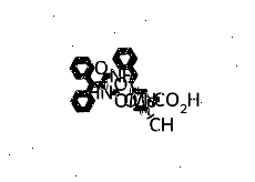 C#C[C@@H]1CO[C@H](CCc2ccccc2NC(=O)[C@@H](NC(=O)OC)C(c2ccccc2)c2ccccc2)CN1C(=O)O